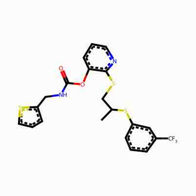 CC(CSc1ncccc1OC(=O)NCc1cccs1)Sc1cccc(C(F)(F)F)c1